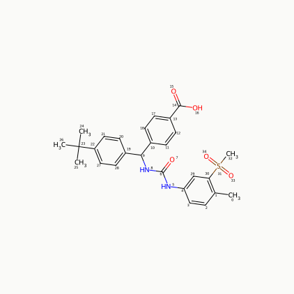 Cc1ccc(NC(=O)NC(c2ccc(C(=O)O)cc2)c2ccc(C(C)(C)C)cc2)cc1S(C)(=O)=O